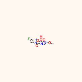 CCCOCCN1CCn2cc(C(=O)NCc3ccc(F)cc3)c(=O)c(O)c2C1=O